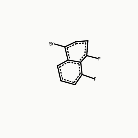 Fc1cccc2c(Br)ccc(F)c12